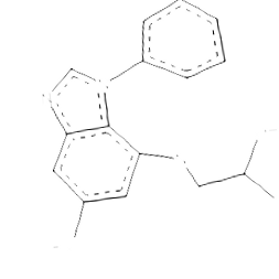 CC(O)CNc1cc(C(F)(F)F)cc2ncn(-c3ccccc3)c12